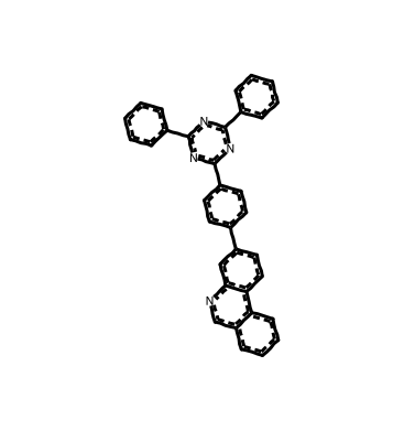 c1ccc(-c2nc(-c3ccccc3)nc(-c3ccc(-c4ccc5c(c4)ncc4ccccc45)cc3)n2)cc1